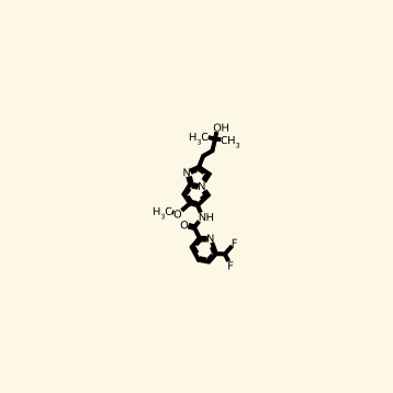 COc1cc2nc(CCC(C)(C)O)cn2cc1NC(=O)c1cccc(C(F)F)n1